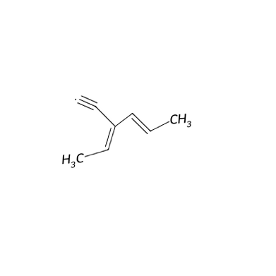 [C]#CC(C=CC)=CC